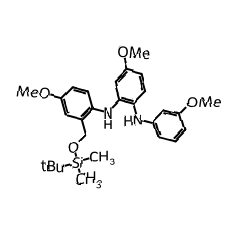 COc1cccc(Nc2ccc(OC)cc2Nc2ccc(OC)cc2CO[Si](C)(C)C(C)(C)C)c1